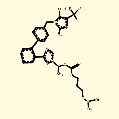 CCCc1nc(C(F)(F)C(F)(F)F)c(C(=O)O)n1Cc1ccc(-c2ccccc2-c2nnn(C(C)OC(=O)OCCCON(O)O)n2)cc1